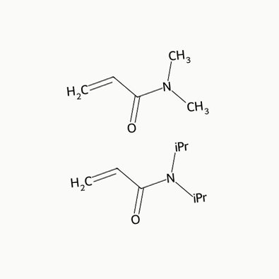 C=CC(=O)N(C(C)C)C(C)C.C=CC(=O)N(C)C